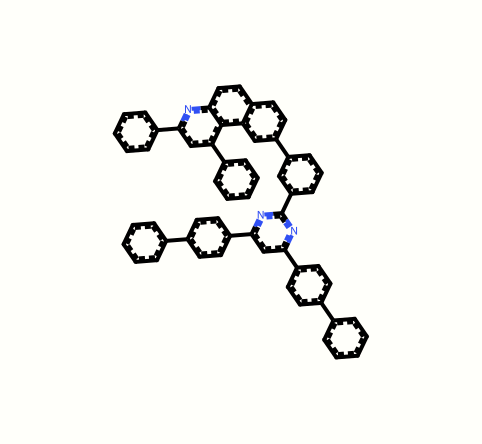 c1ccc(-c2ccc(-c3cc(-c4ccc(-c5ccccc5)cc4)nc(-c4cccc(-c5ccc6ccc7nc(-c8ccccc8)cc(-c8ccccc8)c7c6c5)c4)n3)cc2)cc1